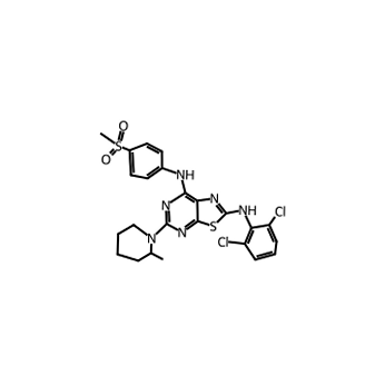 CC1CCCCN1c1nc(Nc2ccc(S(C)(=O)=O)cc2)c2nc(Nc3c(Cl)cccc3Cl)sc2n1